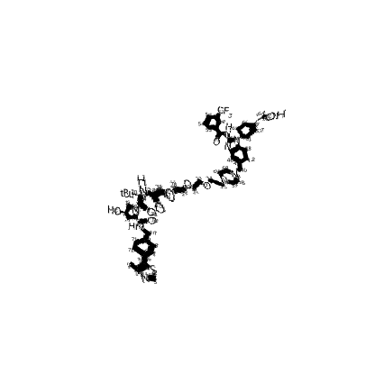 Cc1ncsc1-c1ccc(CNC(=O)[C@@H]2C[C@@H](O)CN2C(=O)[C@@H](NC(=O)COCCOCCOCCN2CCN(Cc3ccc4c(c3)nc(NC(=O)c3cccc(C(F)(F)F)c3)n4[C@H]3CC[C@@H](CO)CC3)CC2)C(C)(C)C)cc1